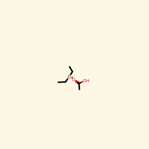 CC(=O)O.C[CH2][Cu][CH2]C